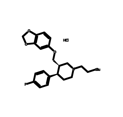 CC(C)(C)CCN1CC[C@@H](c2ccc(F)cc2)[C@H](COc2ccc3c(c2)OCO3)C1.Cl